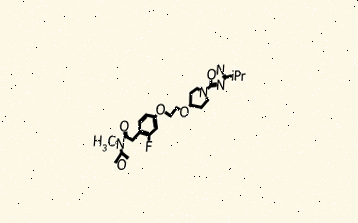 CC(C)c1noc(N2CCC(OCCOc3ccc(CC(=O)N(C)C4COC4)c(F)c3)CC2)n1